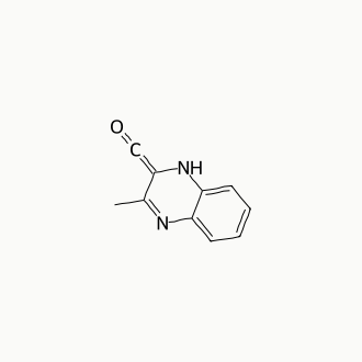 CC1=Nc2ccccc2NC1=C=O